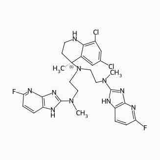 CN(CCN(CCN(C)c1nc2nc(F)ccc2[nH]1)[C@@]1(C)CCNc2c(Cl)cc(Cl)cc21)c1nc2nc(F)ccc2[nH]1